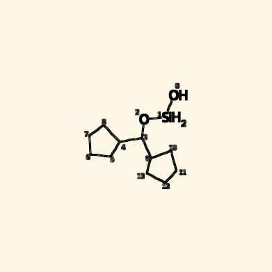 O[SiH2]OC(C1CCCC1)C1CCCC1